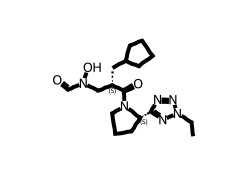 CCn1nnc([C@@H]2CCCN2C(=O)[C@@H](CC2CCCC2)CN(O)C=O)n1